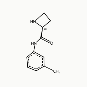 Cc1cccc(NC(=O)[C@@H]2CCN2)c1